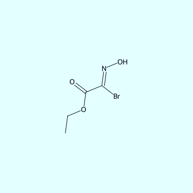 CCOC(=O)C(Br)=NO